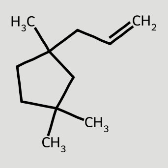 C=CCC1(C)CCC(C)(C)C1